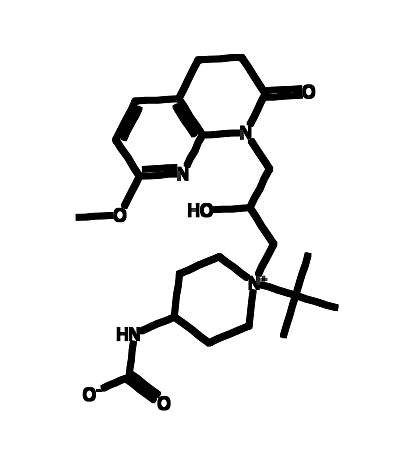 COc1ccc2c(n1)N(CC(O)C[N+]1(C(C)(C)C)CCC(NC(=O)[O-])CC1)C(=O)CC2